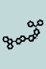 c1ccc(N(c2ccccc2)c2ccc3oc4ccc(-c5ccc6cc(-c7cc8ccccc8c8ccccc78)ccc6c5)cc4c3c2)cc1